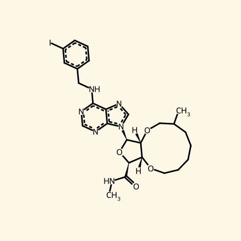 CNC(=O)[C@H]1O[C@@H](n2cnc3c(NCc4cccc(I)c4)ncnc32)[C@@H]2OCC(C)CCCCCO[C@@H]21